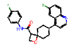 O=C(Nc1ccc(F)cc1)C1COC12CCC(c1ccnc3ccc(F)cc13)CC2